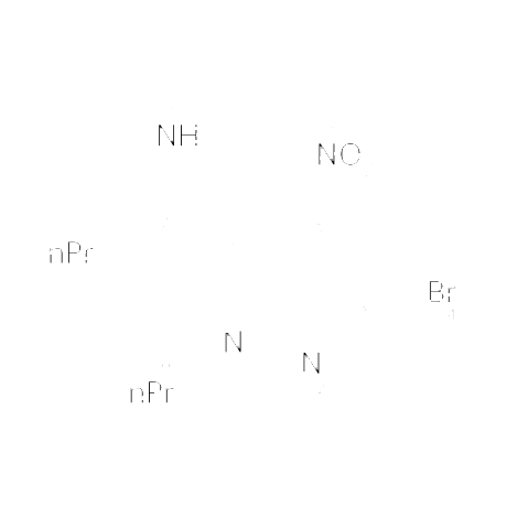 [CH2]CCn1nc(Br)c([N+](=O)[O-])c1C(=N)CCC